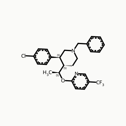 C[C@H](Oc1ccc(C(F)(F)F)cn1)[C@H]1CCN(Cc2ccccc2)C[C@@H]1c1ccc(Cl)cc1